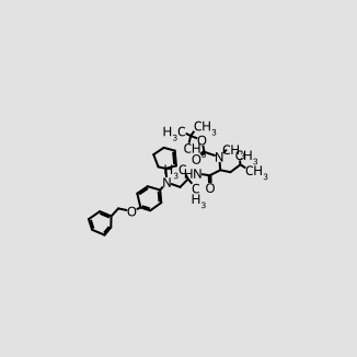 CC(C)CC(C(=O)NC(C)(C)CN(c1ccc(OCc2ccccc2)cc1)C1C=CCCC1)N(C)C(=O)OC(C)(C)C